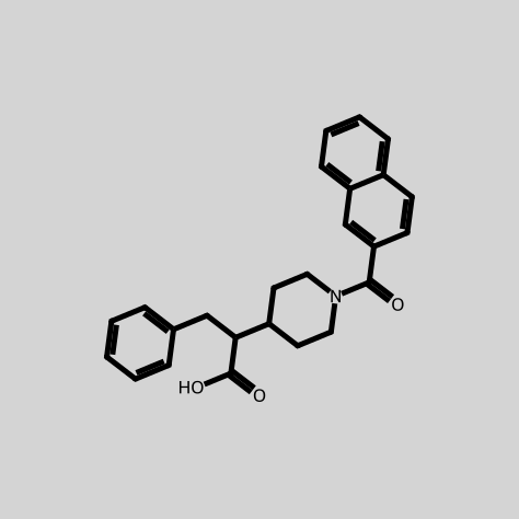 O=C(O)C(Cc1ccccc1)C1CCN(C(=O)c2ccc3ccccc3c2)CC1